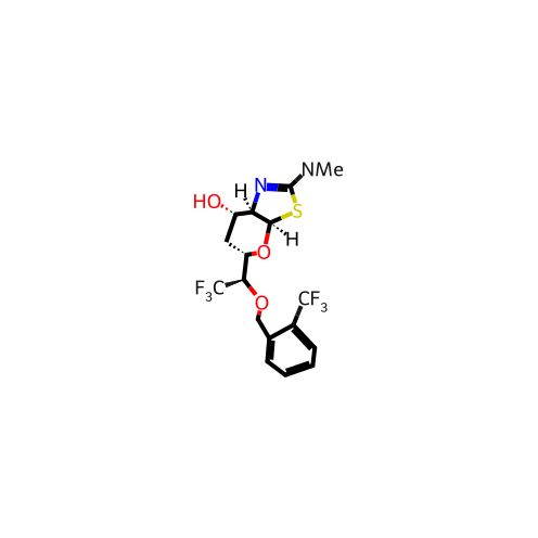 CNC1=N[C@H]2[C@H](O[C@H]([C@@H](OCc3ccccc3C(F)(F)F)C(F)(F)F)C[C@@H]2O)S1